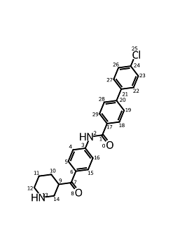 O=C(Nc1ccc(C(=O)C2CCCNC2)cc1)c1ccc(-c2ccc(Cl)cc2)cc1